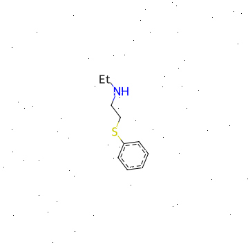 CCNCCSc1ccccc1